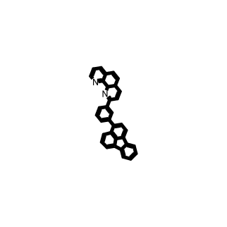 C1=CC2C=Cc3cccnc3C2N=C1c1cccc(-c2ccc3c4c(cccc24)-c2ccccc2-3)c1